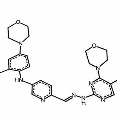 Fc1cnc(N/N=C/c2ccc(Nc3ccc(N4CCOCC4)cc3Cl)cn2)nc1N1CCOCC1